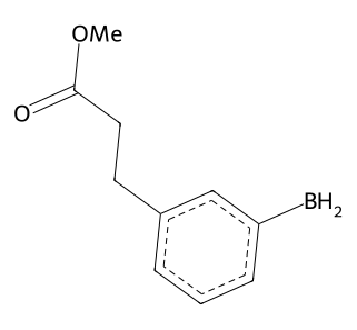 Bc1cccc(CCC(=O)OC)c1